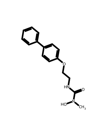 CN(O)C(=O)NCCOc1ccc(-c2ccccc2)cc1